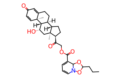 CCCC1OC2C(C(=O)OCC(=O)[C@@H]3CC[C@H]4[C@@H]5CCC6=CC(=O)C=C[C@]6(C)[C@H]5[C@@H](O)C[C@]34C)=CC=CN2O1